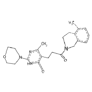 Cc1cccc2c1CCN(C(=O)CCc1c(C)nc(N3CCOCC3)[nH]c1=O)C2